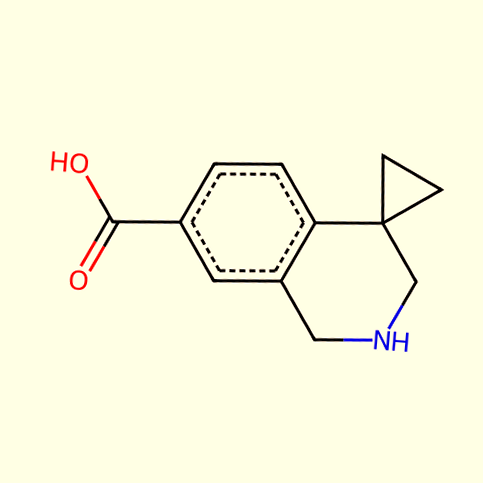 O=C(O)c1ccc2c(c1)CNCC21CC1